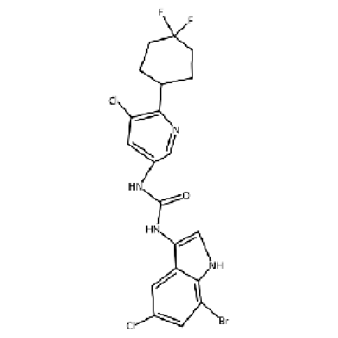 O=C(Nc1cnc(C2CCC(F)(F)CC2)c(Cl)c1)Nc1c[nH]c2c(Br)cc(Cl)cc12